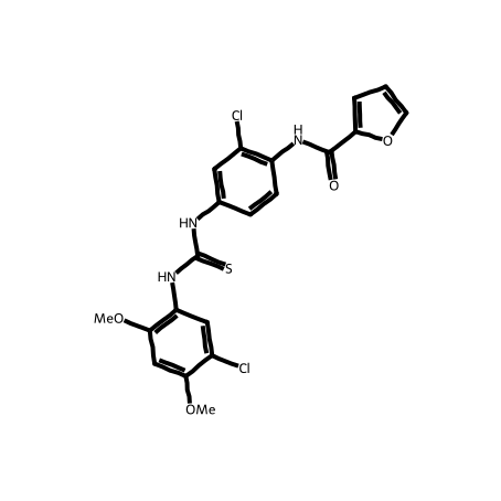 COc1cc(OC)c(NC(=S)Nc2ccc(NC(=O)c3ccco3)c(Cl)c2)cc1Cl